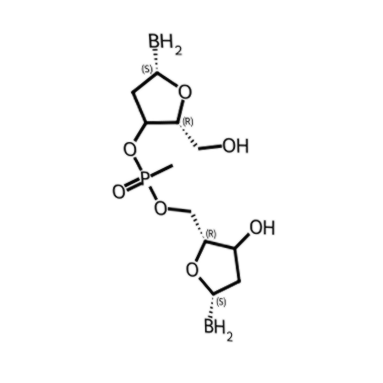 B[C@H]1CC(O)[C@@H](COP(C)(=O)OC2C[C@H](B)O[C@@H]2CO)O1